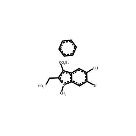 CCOC(=O)c1c(CS(=O)(=O)O)n(C)c2cc(Br)c(O)cc12.c1ccccc1